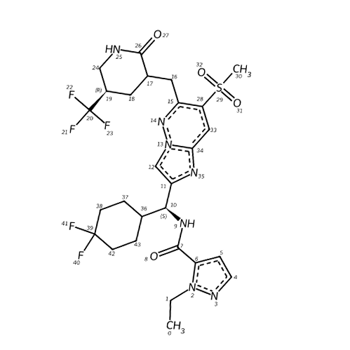 CCn1nccc1C(=O)N[C@H](c1cn2nc(CC3C[C@@H](C(F)(F)F)CNC3=O)c(S(C)(=O)=O)cc2n1)C1CCC(F)(F)CC1